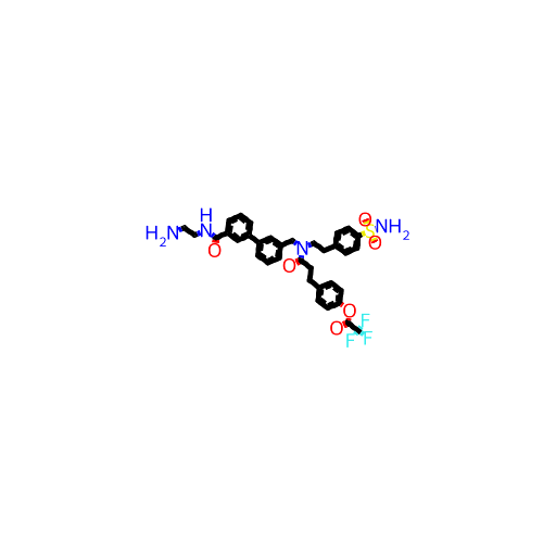 NCCNC(=O)c1cccc(-c2cccc(CN(CCc3ccc(S(N)(=O)=O)cc3)C(=O)CCc3ccc(OC(=O)C(F)(F)F)cc3)c2)c1